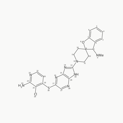 CNC1c2ccccc2OC12CCN(c1nc3nc(Sc4ccnc(N)c4Cl)cnc3[nH]1)CC2